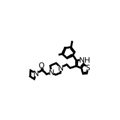 Cc1cc(C)cc(-c2[nH]c3sccc3c2CCN2CCN(CC(=O)N3CCC3)CC2)c1